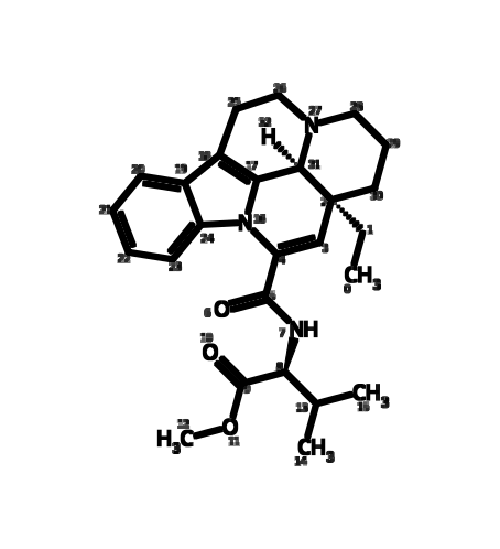 CC[C@@]12C=C(C(=O)N[C@H](C(=O)OC)C(C)C)n3c4c(c5ccccc53)CCN(CCC1)[C@H]42